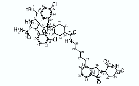 CC(C)(C)C[C@@H]1N[C@@H](C(N)=O)[C@H](c2cccc(Cl)c2F)[C@]12C(=O)N(C1CCC(C(=O)NCCCCCc3cccc4c3CN(C3CCC(=O)NC3=O)C4=O)CC1)c1cc(Cl)ccc12